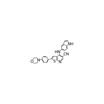 N#Cc1cnc2sc(-c3ccc(N4CCOCC4)cc3)cc2c1Nc1ccc2[nH]ccc2c1